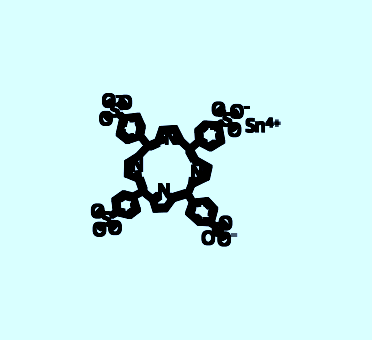 O=S(=O)([O-])c1ccc(C2=C3C=CC(=N3)C(c3ccc(S(=O)(=O)[O-])cc3)=C3C=CC(=N3)C(c3ccc(S(=O)(=O)[O-])cc3)=C3C=CC(=N3)C(c3ccc(S(=O)(=O)[O-])cc3)=C3C=CC2=N3)cc1.[Sn+4]